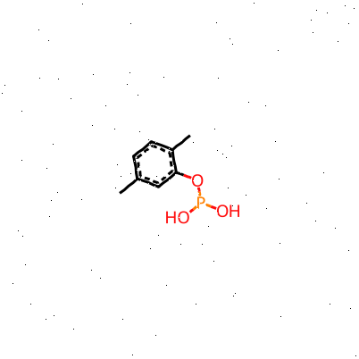 Cc1ccc(C)c(OP(O)O)c1